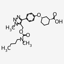 CCCCN(C)C(=O)OCc1c(-c2ccc(O[C@H]3CCC[C@H](C(=O)O)C3)cc2)nnn1C